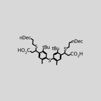 CCCCCCCCCCCCSC(CC(=O)O)c1cc(C)c(Sc2cc(C(C)(C)C)c(C(CC(=O)O)SCCCCCCCCCCCC)cc2C)cc1C(C)(C)C